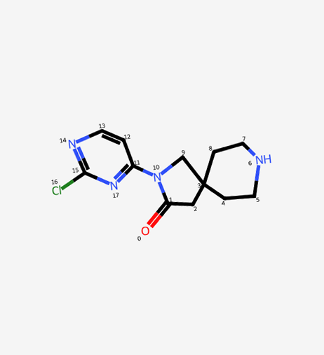 O=C1CC2(CCNCC2)CN1c1ccnc(Cl)n1